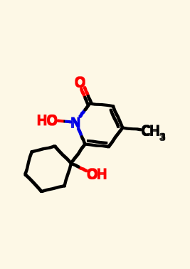 Cc1cc(C2(O)CCCCC2)n(O)c(=O)c1